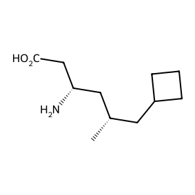 C[C@@H](CC1CCC1)C[C@H](N)CC(=O)O